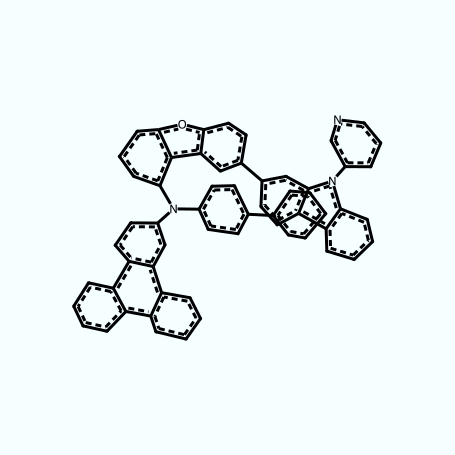 c1ccc(-c2ccc(N(c3ccc4c5ccccc5c5ccccc5c4c3)c3cccc4oc5ccc(-c6ccc7c8ccccc8n(-c8cccnc8)c7c6)cc5c34)cc2)cc1